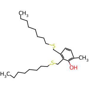 CCCCCCCCSCc1ccc(C)c(O)c1CSCCCCCCCC